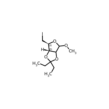 CCC1(CC)OC2C(OC)O[C@H](CI)[C@H]2O1